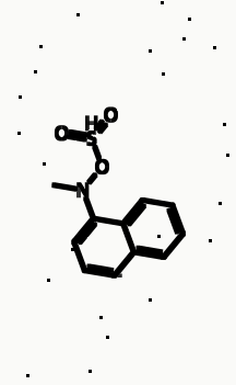 CN(O[SH](=O)=O)c1cc[c]c2ccccc12